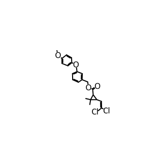 COc1ccc(Oc2cccc(COC(=O)C3C(C=C(Cl)Cl)C3(C)C)c2)cc1